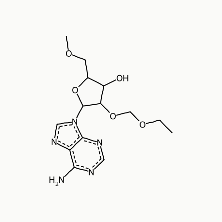 CCOCOC1C(O)C(COC)OC1n1cnc2c(N)ncnc21